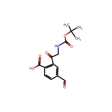 CC(C)(C)OC(=O)NCC(=O)c1cc(C=O)ccc1C(=O)O